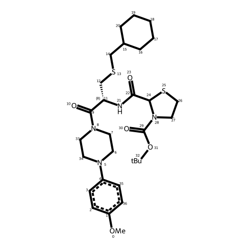 COc1ccc(N2CCN(C(=O)[C@H](CSCC3CCCCC3)NC(=O)C3SC[CH]N3C(=O)OC(C)(C)C)CC2)cc1